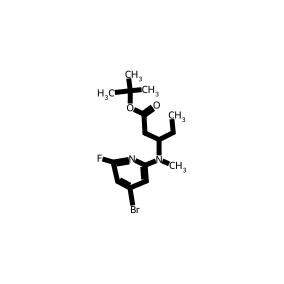 CCC(CC(=O)OC(C)(C)C)N(C)c1cc(Br)cc(F)n1